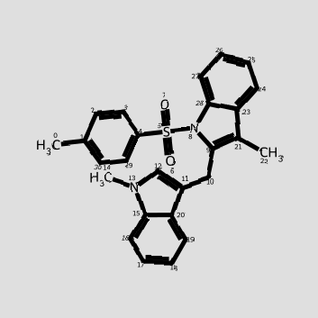 Cc1ccc(S(=O)(=O)n2c(Cc3cn(C)c4ccccc34)c(C)c3ccccc32)cc1